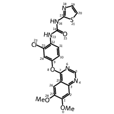 COc1cc2ncnc(Oc3ccc(NC(=O)Nc4nccs4)c(Cl)c3)c2cc1OC